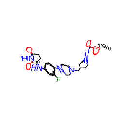 CC(C)(C)OC(=O)N1CCC(CN2CCN(c3ccc(N[C@H]4CCC(=O)NC4=O)cc3F)CC2)CC1